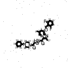 Cc1cc(OCc2c(F)cccc2F)c2nc(C)c(C(=O)NOCC(=O)N3CCN(c4ccccc4)CC3)n2c1